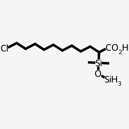 C[Si](C)(O[SiH3])C(CCCCCCCCCCl)C(=O)O